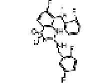 C[C@H](c1ccccc1F)c1c(F)ccc2c1NC(NCc1cc(F)ccc1F)=NS2(=O)=O